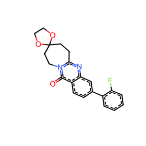 O=c1c2ccc(-c3ccccc3F)cc2nc2n1CCC1(CC2)OCCO1